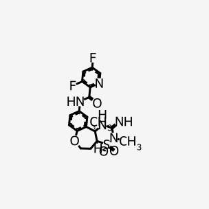 CN1C(=N)N[C@]2(C)c3cc(NC(=O)c4ncc(F)cc4F)ccc3OCC[C@@H]2S1(=O)=O